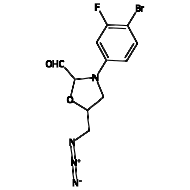 [N-]=[N+]=NCC1CN(c2ccc(Br)c(F)c2)C(C=O)O1